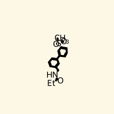 CCC(=O)NCc1cccc(-c2cccc(S(C)(=O)=O)c2)c1